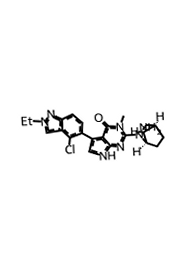 CCn1cc2c(Cl)c(-c3c[nH]c4nc(N5C[C@H]6CC[C@@H]5[C@@H]6N)n(C)c(=O)c34)ccc2n1